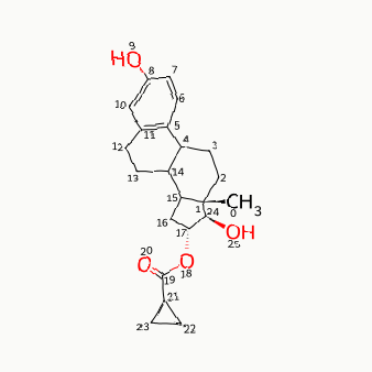 C[C@]12CCC3c4ccc(O)cc4CCC3C1C[C@@H](OC(=O)C1CC1)[C@@H]2O